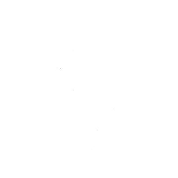 CC/C=C1/C(c2ccc(C(Cc3ccccc3)Nc3ccccc3C)cc2)=c2ccccc2=C(c2ccc3cc(C)ccc3c2)C1CCC